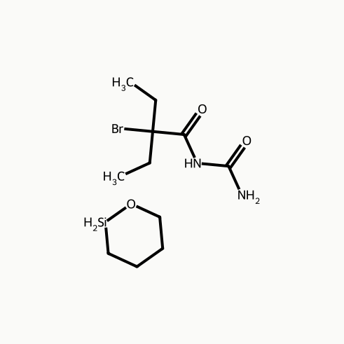 C1CC[SiH2]OC1.CCC(Br)(CC)C(=O)NC(N)=O